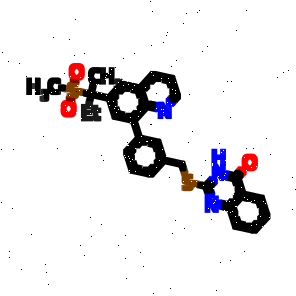 CCC(C)(c1cc(-c2cccc(CSc3nc4ccccc4c(=O)[nH]3)c2)c2ncccc2c1)S(C)(=O)=O